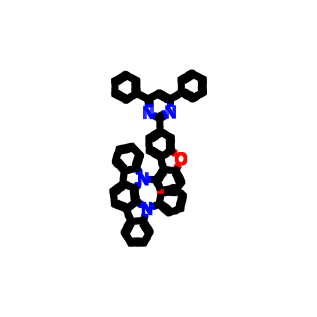 c1ccc(-c2cc(-c3ccccc3)nc(-c3ccc4c(c3)oc3cccc(-n5c6ccccc6c6ccc7c8ccccc8n(-c8ccccc8)c7c65)c34)n2)cc1